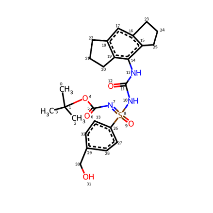 CC(C)(C)OC(=O)N=S(=O)(NC(=O)Nc1c2c(cc3c1CCC3)CCC2)c1ccc(CO)cc1